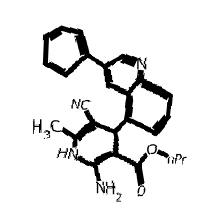 CCCOC(=O)C1=C(N)NC(C)=C(C#N)C1c1cccc2ncc(-c3ccccc3)cc12